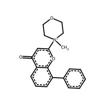 C[N+]1(c2cc(=O)c3cccc(-c4ccccc4)c3o2)CCOCC1